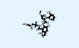 COc1cc(C(=O)Nc2c(Cl)cc3cn[nH]c3c2C(=O)NC(C)(C)CS(=O)#CO)n(-c2ncccc2Cl)n1